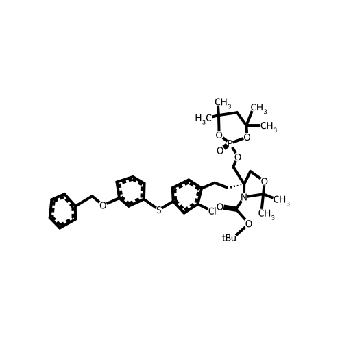 CC(C)(C)OC(=O)N1C(C)(C)OC[C@]1(CCc1ccc(Sc2cccc(OCc3ccccc3)c2)cc1Cl)COP1(=O)OC(C)(C)CC(C)(C)O1